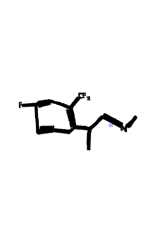 C/N=C/C(C)c1ccc(F)cc1C(F)(F)F